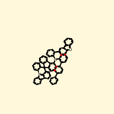 c1ccc(-c2ccc(-c3ccccc3N(c3ccccc3-c3ccc4oc5ccccc5c4c3)c3cccc4c3-c3ccccc3C43c4ccccc4-n4c5ccccc5c5cccc3c54)cc2)cc1